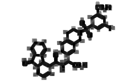 CCOC(=O)c1cc(F)cc(S(=O)(=O)N2CCc3ccc(C(NC(=O)c4cccc5c4-c4ccccc4C5=O)C(=O)O)cc3C2)c1